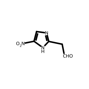 O=CCc1ncc([N+](=O)[O-])[nH]1